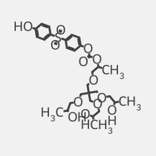 CC(O)COCC(COCC(C)O)(COCC(C)O)COCC(C)OC(=O)Oc1ccc(S(=O)(=O)c2ccc(O)cc2)cc1